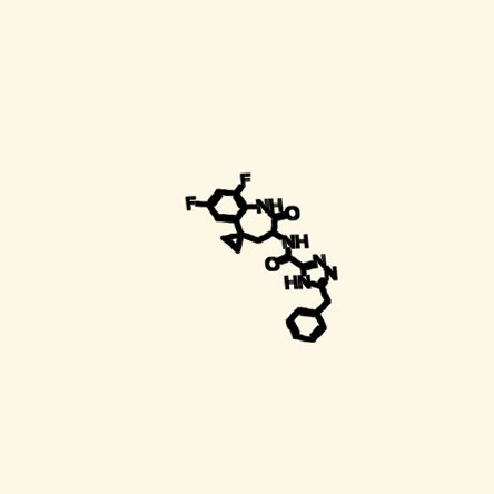 O=C(NC1CC2(CC2)c2cc(F)cc(F)c2NC1=O)c1nnc(Cc2ccccc2)[nH]1